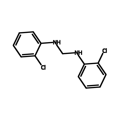 Clc1ccccc1NCNc1ccccc1Cl